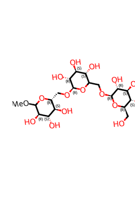 COC1O[C@H](CO[C@@H]2OC(CO[C@@H]3O[C@H](CO)[C@@H](O)[C@H](O)[C@H]3O)[C@@H](O)[C@H](O)[C@H]2O)[C@@H](O)[C@H](O)[C@H]1O